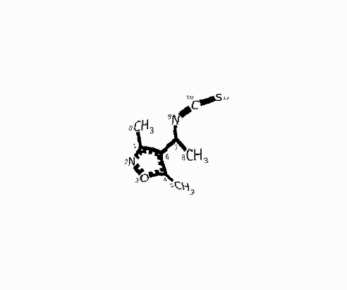 Cc1noc(C)c1C(C)N=C=S